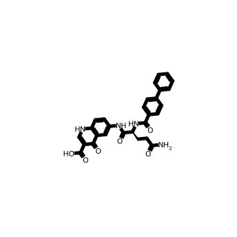 NC(=O)CC[C@H](NC(=O)c1ccc(-c2ccccc2)cc1)C(=O)Nc1ccc2[nH]cc(C(=O)O)c(=O)c2c1